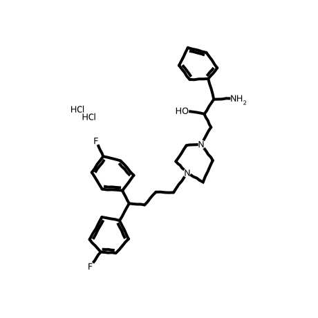 Cl.Cl.NC(c1ccccc1)C(O)CN1CCN(CCCC(c2ccc(F)cc2)c2ccc(F)cc2)CC1